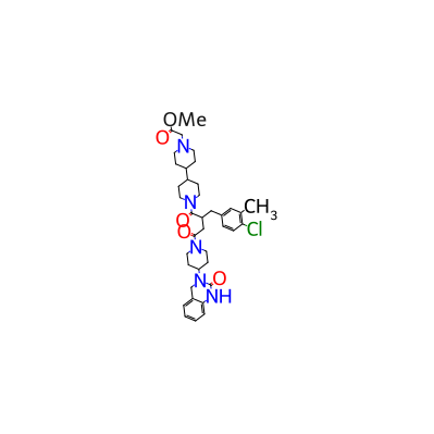 COC(=O)CN1CCC(C2CCN(C(=O)C(CC(=O)N3CCC(N4Cc5ccccc5NC4=O)CC3)Cc3ccc(Cl)c(C)c3)CC2)CC1